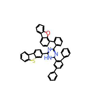 c1ccc(-c2ccc(-c3ccccc3)c(C3N=C(c4ccccc4-c4cccc5c4oc4ccccc45)N=C(c4ccc5c(c4)sc4ccccc45)N3)c2)cc1